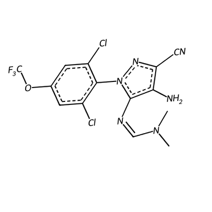 CN(C)/C=N\c1c(N)c(C#N)nn1-c1c(Cl)cc(OC(F)(F)F)cc1Cl